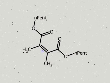 CCCCCOC(=O)/C(C)=C(/C)C(=O)OCCCCC